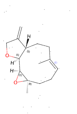 C=C1CO[C@H]2[C@H]1CC/C(C)=C/CC[C@@]1(C)O[C@@H]21